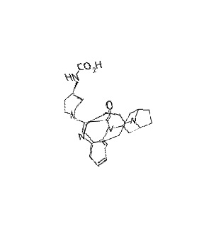 O=C(O)N[C@@H]1CCN(c2nc3ccccc3n(C3CC4CCC(C3)N4C3CCCCCCC3)c2=O)C1